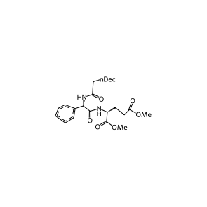 CCCCCCCCCCCC(=O)N[C@@H](C(=O)N[C@@H](CCC(=O)OC)C(=O)OC)c1ccccc1